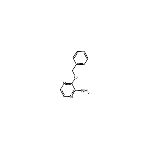 Nc1nccnc1OCc1ccccc1